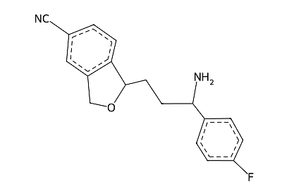 N#Cc1ccc2c(c1)COC2CCC(N)c1ccc(F)cc1